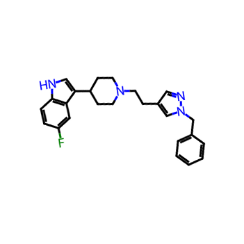 Fc1ccc2[nH]cc(C3CCN(CCc4cnn(Cc5ccccc5)c4)CC3)c2c1